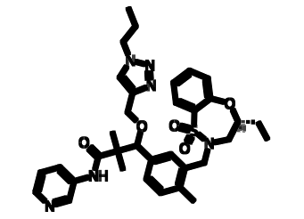 CCCn1cc(COC(c2ccc(C)c(CN3C[C@@H](CC)Oc4ccccc4S3(=O)=O)c2)C(C)(C)C(=O)Nc2cccnc2)nn1